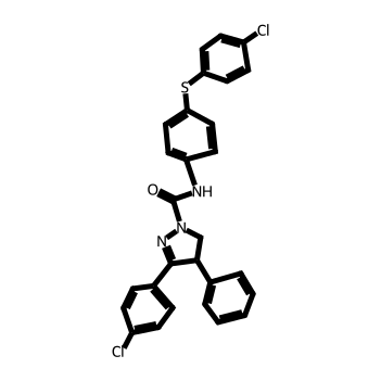 O=C(Nc1ccc(Sc2ccc(Cl)cc2)cc1)N1CC(c2ccccc2)C(c2ccc(Cl)cc2)=N1